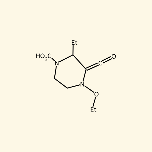 CCON1CCN(C(=O)O)C(CC)C1=C=O